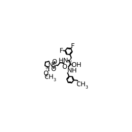 CCc1cccc(CNC[C@@H](O)[C@H](Cc2cc(F)cc(F)c2)NC(=O)CCS(=O)(=O)N2CCC[C@@H]2COC)c1